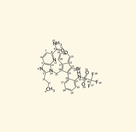 CCCc1nc2ccc(C(N)=O)nc2n1Cc1c2ccocc-2c(Br)c1-c1ccccc1NS(=O)(=O)C(F)(F)F